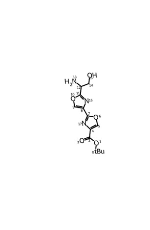 CC(C)(C)OC(=O)c1coc(-c2coc(C(N)CO)n2)n1